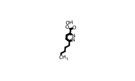 CCCCCc1ccc(C(=O)OO)nn1